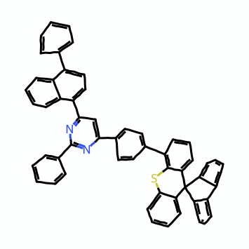 c1ccc(-c2nc(-c3ccc(-c4cccc5c4Sc4ccccc4C54c5ccccc5-c5ccccc54)cc3)cc(-c3ccc(-c4ccccc4)c4ccccc34)n2)cc1